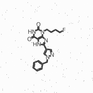 O=c1[nH]c(=O)n(CCCCF)c2nc(-c3cnn(Cc4ccccc4)c3)[nH]c12